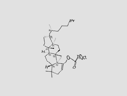 CCCCCCCCC(=O)OC1=CCC(C)(C)[C@@H]2CC[C@@H]3[C@]4(CC[C@]5(C)[C@@H]([C@H](C)CCCC(C)C)CC[C@@]35C)C[C@]124